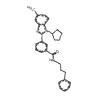 O=C(O)c1ccc2c(c1)nc(-c1cccc(C(=O)NCCCc3ccccc3)c1)n2C1CCCC1